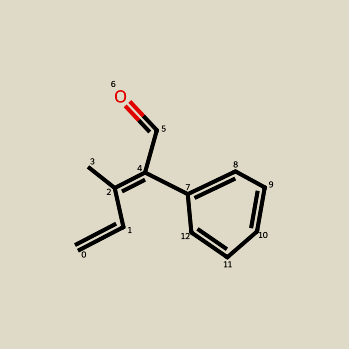 C=C/C(C)=C(/C=O)c1ccccc1